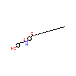 CCCCCCCCCCCCCCCCCCC(=O)c1ccc(NC(=O)/C=C/c2ccc(O)cc2)cc1